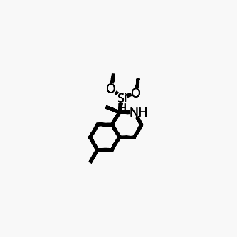 CO[SiH](OC)C1(C)NCCC2CC(C)CCC21